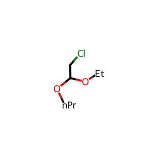 CCCOC(CCl)OCC